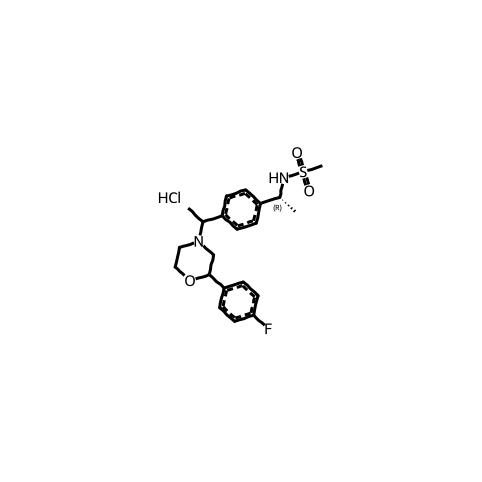 CC(c1ccc([C@@H](C)NS(C)(=O)=O)cc1)N1CCOC(c2ccc(F)cc2)C1.Cl